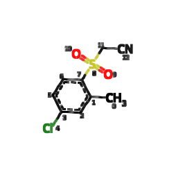 Cc1cc(Cl)ccc1S(=O)(=O)CC#N